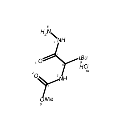 COC(=O)NC(C(=O)NN)C(C)(C)C.Cl